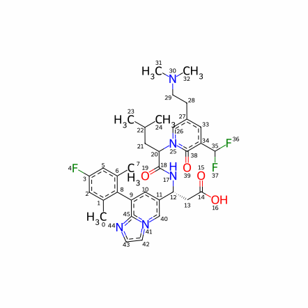 Cc1cc(F)cc(C)c1-c1cc([C@@H](CC(=O)O)NC(=O)C(CC(C)C)n2cc(CCN(C)C)cc(C(F)F)c2=O)cn2ccnc12